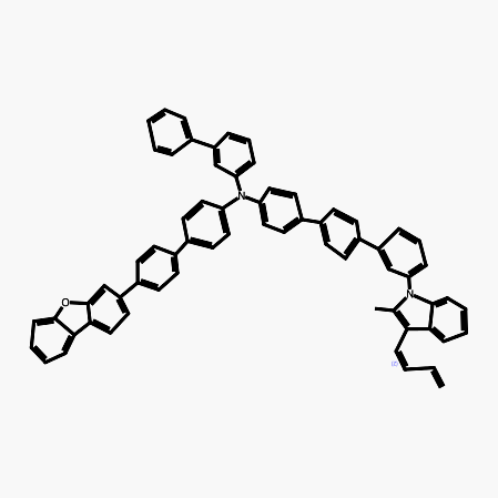 C=C/C=C\c1c(C)n(-c2cccc(-c3ccc(-c4ccc(N(c5ccc(-c6ccc(-c7ccc8c(c7)oc7ccccc78)cc6)cc5)c5cccc(-c6ccccc6)c5)cc4)cc3)c2)c2ccccc12